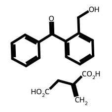 C=C(CC(=O)O)C(=O)O.O=C(c1ccccc1)c1ccccc1CO